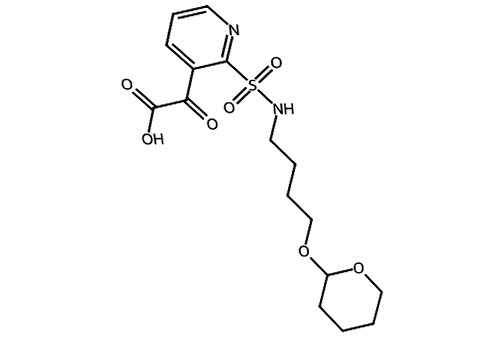 O=C(O)C(=O)c1cccnc1S(=O)(=O)NCCCCOC1CCCCO1